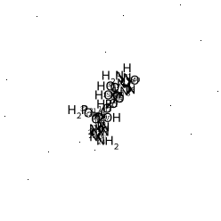 Nc1nc2c(ncn2[C@@H]2OC(OPOC[C@H]3[C@@H](O)[C@H](n4nnc5c(N)ncnc54)O[C@@H]3COP)[C@@H](O)[C@H]2OO)c(=O)[nH]1